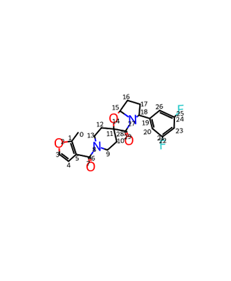 Cc1occc1C(=O)N1CCC2(CC1)OC1CCC(c3cc(F)cc(F)c3)N1C2=O